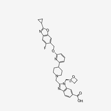 O=C(O)c1ccc2nc(CN3CCC(c4cccc(OCc5cc6oc(C7CC7)nc6cc5F)n4)CC3)n(C[C@@H]3CCO3)c2c1